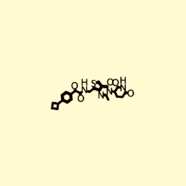 Cc1nc2c(CNC(=O)C(=O)c3ccc(C4CCC4)cc3)scc2c(=O)n1C1CCC(=O)NC1=O